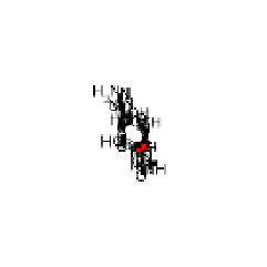 Cc1nc2c(ncn2[C@H]2[C@@H]3OP(=O)(O)OCC45C[C@@H]4[C@@H](n4cnc6c(N)ncnc64)[C@H](O)[C@@H]5O[P@](=O)(S)OCC4(C[C@H]24)[C@H]3O)c(=O)[nH]1